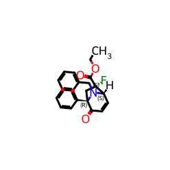 CCOC(=O)[C@]1(F)C[C@@]2(c3ccccc3)C(=O)C=C[C@@H]1N2Cc1ccccc1